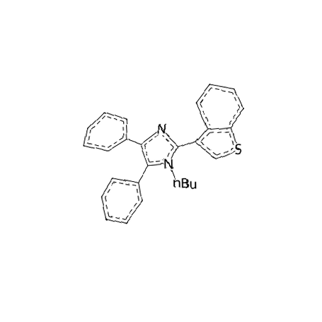 CCCCn1c(-c2csc3ccccc23)nc(-c2ccccc2)c1-c1ccccc1